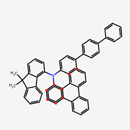 CC1(C)c2ccccc2-c2c(N(c3ccc(-c4ccc(-c5ccccc5)cc4)cc3)c3ccccc3-c3ccccc3-c3ccccc3-c3ccccc3)cccc21